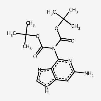 CC(C)(C)OC(=O)N(C(=O)OC(C)(C)C)c1nc(N)cc2[nH]cnc12